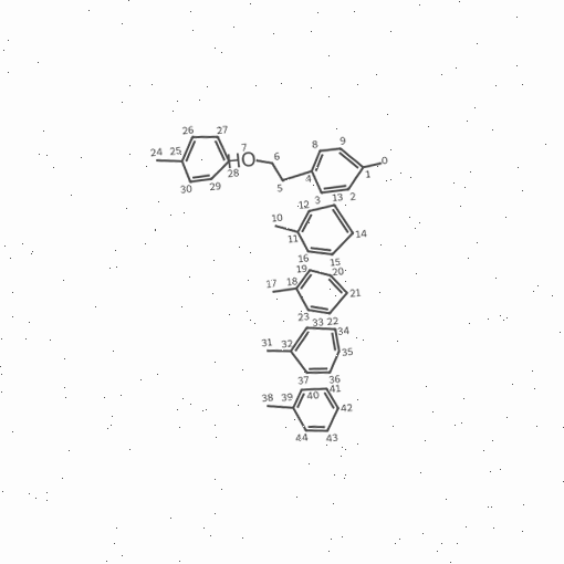 Cc1ccc(CCO)cc1.Cc1ccccc1.Cc1ccccc1.Cc1ccccc1.Cc1ccccc1.Cc1ccccc1